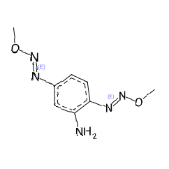 CO/N=N/c1ccc(/N=N/OC)c(N)c1